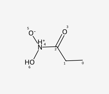 CCC(=O)[NH+]([O-])O